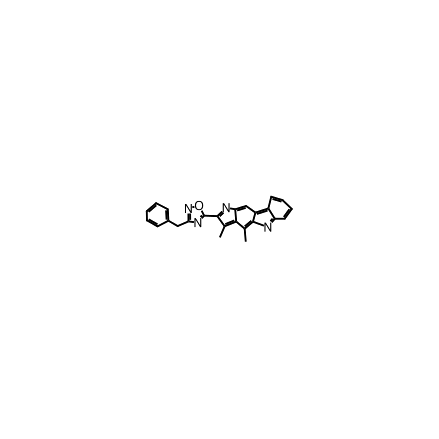 CC1=c2c(cc3c(c2C)N=c2ccccc2=3)N=C1c1nc(Cc2ccccc2)no1